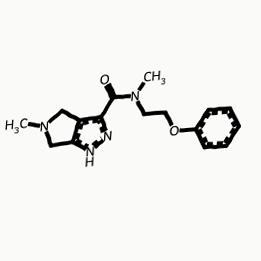 CN1Cc2[nH]nc(C(=O)N(C)CCOc3ccccc3)c2C1